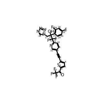 O=C(c1ccc(C#Cc2ccc(C(F)(F)C(O)(Cn3cnnn3)c3ccc(F)cc3F)nc2)s1)C(F)(F)F